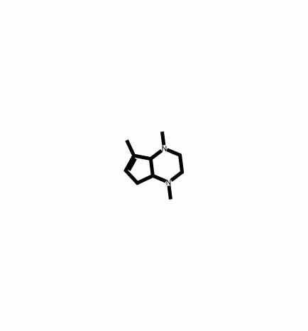 CC1=CCC2C1N(C)CCN2C